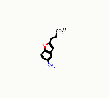 Nc1ccc2oc(CCC(=O)O)cc2c1